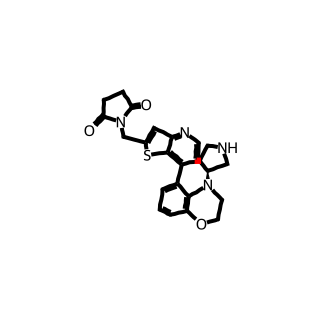 O=C1CCC(=O)N1Cc1cc2nccc(-c3cccc4c3N([C@H]3CCNC3)CCO4)c2s1